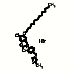 Br.CCCCCCCCCCCCCCOc1cc(CN(C(C)=O)c2ccc(CN3C=C(C)SC3)cc2)ccc1Cl